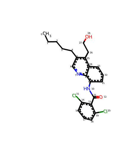 CCCCCc1cnc2c(NC(=O)c3c(Cl)cccc3Cl)cccc2c1CCO